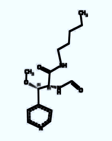 CCCCCNC(=O)[C@H](NC=O)[C@@H](OC)c1ccncc1